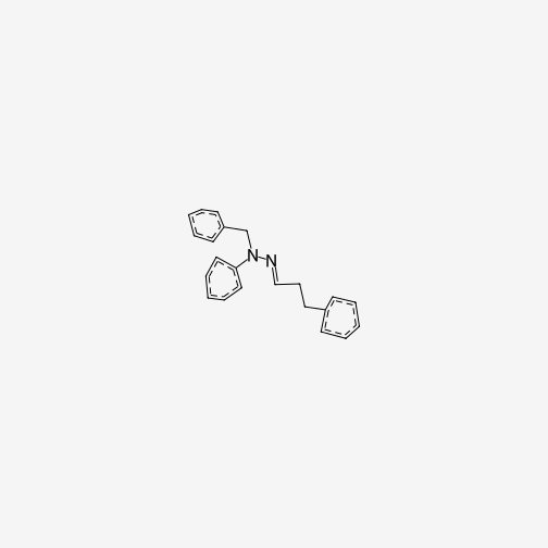 C(CCc1ccccc1)=NN(Cc1ccccc1)c1ccccc1